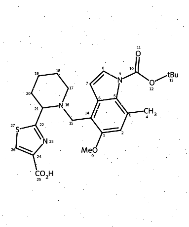 COc1cc(C)c2c(ccn2C(=O)OC(C)(C)C)c1CN1CCCCC1c1nc(C(=O)O)cs1